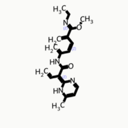 C=C/C(C(=O)NC(=C)/C=C\C(=C)/C(=N/CC)OC)=C1/N=CC=C(C)N1